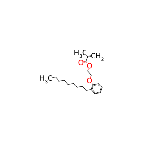 C=C(C)C(=O)OCCOc1ccccc1CCCCCCCCC